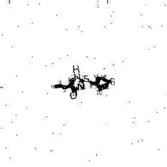 CCCc1c[nH]c(SCc2ccc(F)cc2)nc1=O